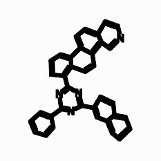 c1ccc(-c2nc(-c3ccc4ccccc4c3)nc(-c3cccc4c3ccc3c5cnccc5ccc43)n2)cc1